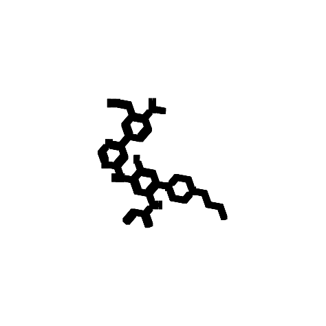 C=CC(=C)Nc1cc(Nc2cc(-c3ccc(NC)c(C=N)c3)ncn2)c(F)cc1N1CCN(CCCC)CC1